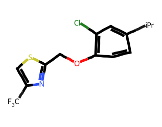 CC(C)c1ccc(OCc2nc(C(F)(F)F)cs2)c(Cl)c1